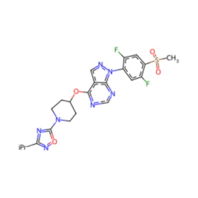 CC(C)c1noc(N2CCC(Oc3ncnc4c3cnn4-c3cc(F)c(S(C)(=O)=O)cc3F)CC2)n1